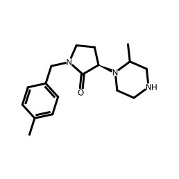 Cc1ccc(CN2CC[C@@H](N3CCNCC3C)C2=O)cc1